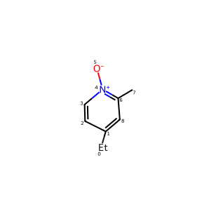 CCc1cc[n+]([O-])c(C)c1